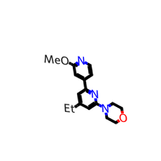 CCc1cc(-c2ccnc(OC)c2)nc(N2CCOCC2)c1